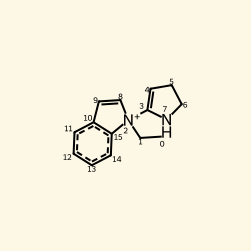 CC[N+]1(C2=CCCN2)C=Cc2ccccc21